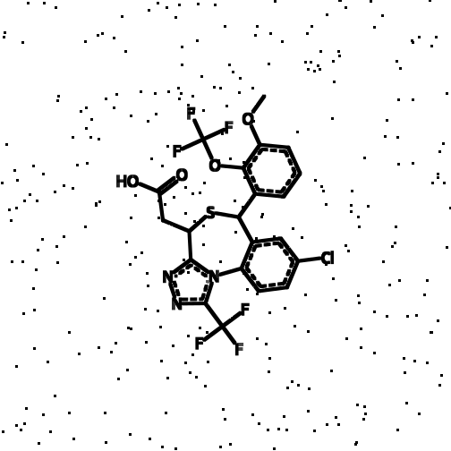 COc1cccc(C2SC(CC(=O)O)c3nnc(C(F)(F)F)n3-c3ccc(Cl)cc32)c1OC(F)(F)F